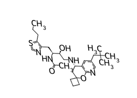 CCCc1scnc1C[C@H](NC(C)=O)[C@@H](O)CN[C@H]1CC2(CCC2)Oc2ncc(CC(C)(C)C)cc21